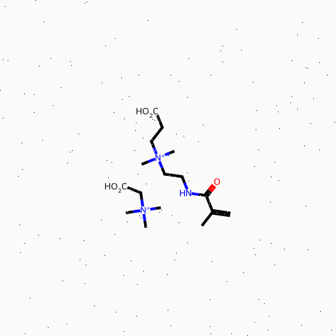 C=C(C)C(=O)NCC[N+](C)(C)CCC(=O)O.C[N+](C)(C)CC(=O)O